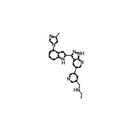 CCNCc1cncc(-c2cnc3[nH]nc(-c4cc5c(-n6cnc(C)c6)cccc5[nH]4)c3c2)c1